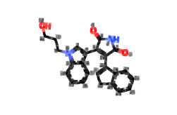 O=C1NC(=O)C(c2cn(CCCO)c3ccccc23)=C1C1=CCc2ccccc21